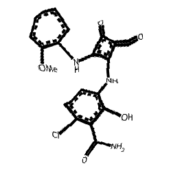 COc1ccccc1Nc1c(Nc2ccc(Cl)c(C(N)=O)c2O)c(=O)c1=O